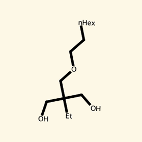 CCCCCCCCOCC(CC)(CO)CO